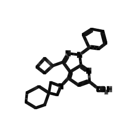 O=C(O)c1cc(N2CC3(CCCCC3)C2)c2c(C3CCC3)nn(-c3ccccc3)c2n1